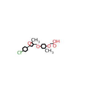 Cc1cc(OCc2cc(-c3ccc(Cl)cc3)oc2C)ccc1OCC(=O)O